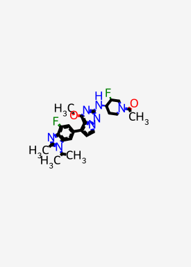 COc1nc(N[C@@H]2CCN(C(C)=O)C[C@@H]2F)nn2ccc(-c3cc(F)c4nc(C)n(C(C)C)c4c3)c12